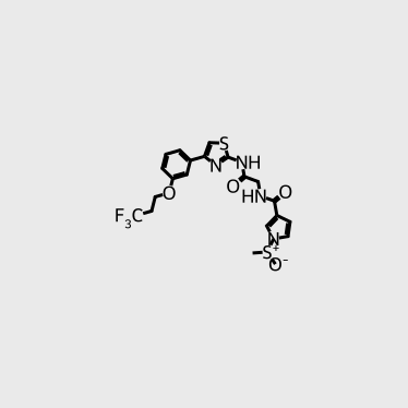 C[S+]([O-])n1ccc(C(=O)NCC(=O)Nc2nc(-c3cccc(OCCC(F)(F)F)c3)cs2)c1